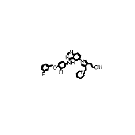 OCCc1cn(-c2ccc3ncnc(Nc4ccc(OCc5cccc(F)c5)c(Cl)c4)c3c2)cc1CN1CCCCC1